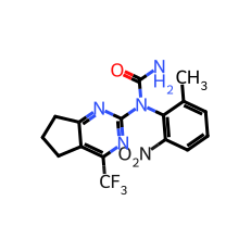 Cc1cccc([N+](=O)[O-])c1N(C(N)=O)c1nc2c(c(C(F)(F)F)n1)CCC2